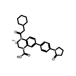 C[C@H]1CN(C(=O)O)c2cc(-c3ccc(N4CCCC4=O)cc3)ccc2N1C(=O)CC1CCCCC1